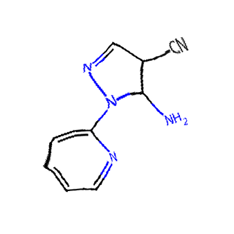 N#CC1C=NN(c2ccccn2)C1N